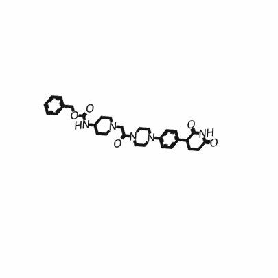 O=C1CCC(c2ccc(N3CCN(C(=O)CN4CCC(NC(=O)OCc5ccccc5)CC4)CC3)cc2)C(=O)N1